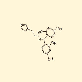 Oc1ccc(C(=NCCCn2ccnc2)c2ccc(O)cc2O)c(O)c1